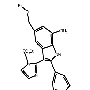 CCOCc1cc(N)c2[nH]c(-c3ccccc3)c(-c3nccn3C(=O)OCC)c2c1